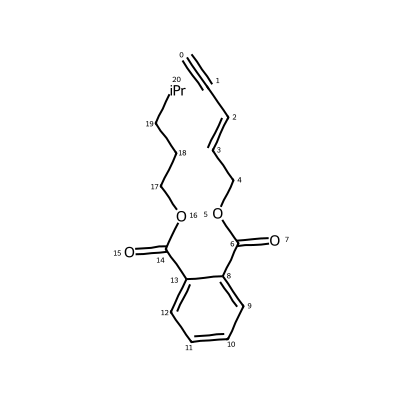 C#CC=CCOC(=O)c1ccccc1C(=O)OCCCC(C)C